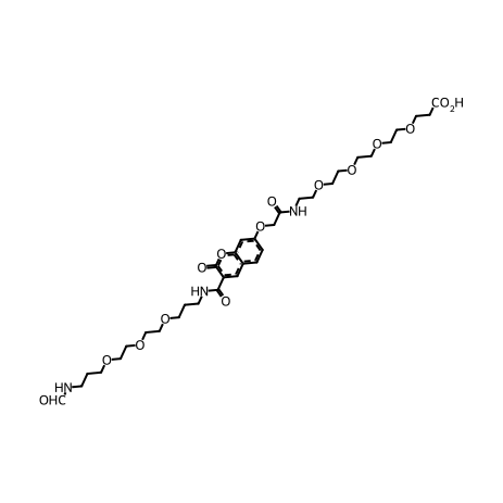 O=CNCCCOCCOCCOCCCNC(=O)c1cc2ccc(OCC(=O)NCCOCCOCCOCCOCCC(=O)O)cc2oc1=O